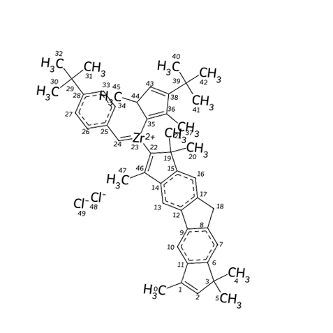 CC1=CC(C)(C)c2cc3c(cc21)-c1cc2c(cc1C3)C(C)(C)[C]([Zr+2](=[CH]c1ccc(C(C)(C)C)cc1)[C]1=C(C)C(C(C)(C)C)=CC1C)=C2C.[Cl-].[Cl-]